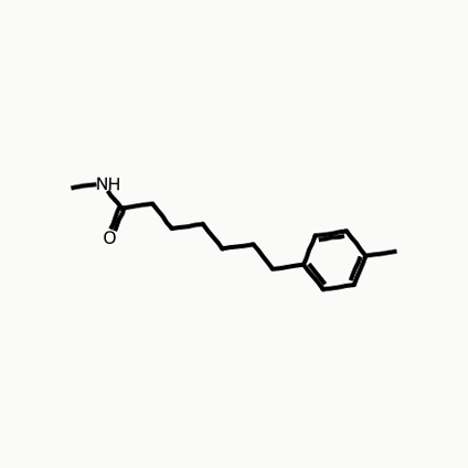 CNC(=O)CCCCCCc1ccc(C)cc1